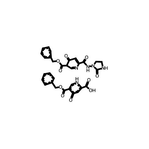 O=C(NN1CCNC1=O)C1=CC(=O)C(C(=O)OCc2ccccc2)C=N1.O=C(O)c1cc(=O)c(C(=O)OCc2ccccc2)c[nH]1